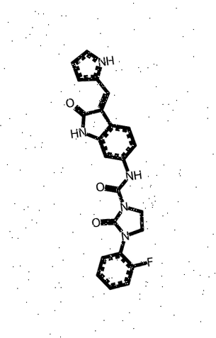 O=C1Nc2cc(NC(=O)N3CCN(c4ccccc4F)C3=O)ccc2/C1=C/c1ccc[nH]1